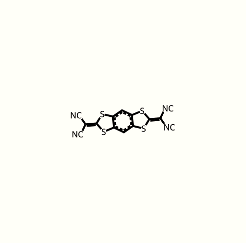 [C-]#[N+]C([N+]#[C-])=C1Sc2cc3c(cc2S1)SC(=C(C#N)C#N)S3